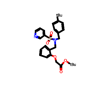 CC(C)(C)OC(=O)COc1ccccc1CN(Cc1ccc(C(C)(C)C)cc1)S(=O)(=O)c1cccnc1